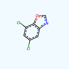 Clc1cc(Cl)c2ocnc2c1